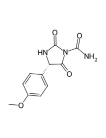 COc1ccc([C@@H]2NC(=O)N(C(N)=O)C2=O)cc1